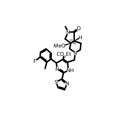 CCOC(=O)C1=C(CN2CC[C@H]3C(=O)N(C)C[C@@]3(OC)C2)NC(c2nccs2)=NC1c1cccc(F)c1C